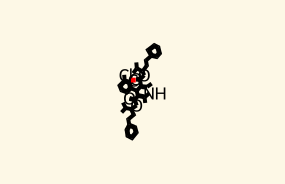 CC1=C(C(=O)OC(CCc2ccccc2)C(C)C)C(c2cccc(Cl)c2Cl)C(C(=O)OC(CCc2ccccc2)C(C)C)=C(C)N1